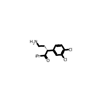 CC(C)C(=O)[C@H](CCN)c1ccc(Cl)c(Cl)c1